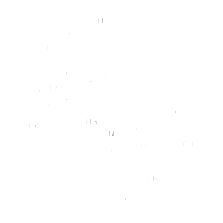 CCC(C)C(=O)OC1C(C)C2(O)C3C=C(C)C(=O)C3(O)C(OC(C)=O)C3(COC(C)=O)OC3C23CC1(OC(=O)C(C)CC)C3(C)C